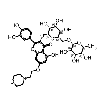 C[C@@H]1O[C@@H](OC[C@H]2O[C@@H](Oc3c(-c4ccc(O)c(O)c4)oc4cc(OCCN5CCOCC5)cc(O)c4c3=O)[C@H](O)[C@@H](O)[C@@H]2O)[C@H](O)[C@H](O)[C@H]1O